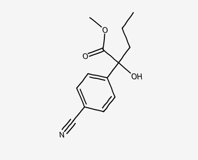 CCCC(O)(C(=O)OC)c1ccc(C#N)cc1